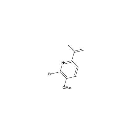 C=C(C)c1ccc(OC)c(Br)n1